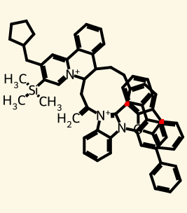 C=C1CC2C(CCc3ccc4c(oc5ccccc54)c3-c3n(-c4cc(-c5ccccc5)ccc4-c4ccccc4)c4ccccc4[n+]31)c1ccccc1-c1cc(CC3CCCC3)c([Si](C)(C)C)c[n+]12